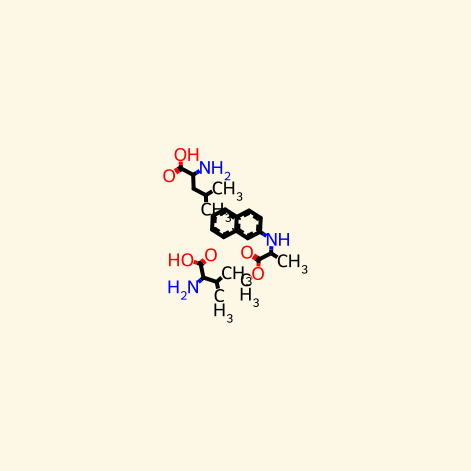 CC(C)C(N)C(=O)O.CC(C)CC(N)C(=O)O.COC(=O)C(C)Nc1ccc2ccccc2c1